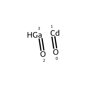 [O]=[Cd].[O]=[GaH]